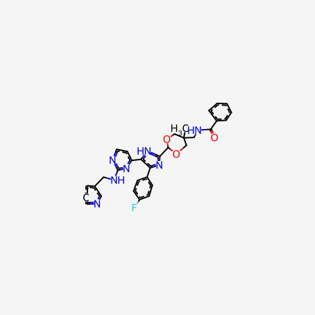 CC1(CNC(=O)c2ccccc2)COC(c2nc(-c3ccc(F)cc3)c(-c3ccnc(NCc4cccnc4)n3)[nH]2)OC1